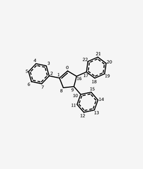 C1=C(c2ccccc2)CC(c2ccccc2)C1c1ccccc1